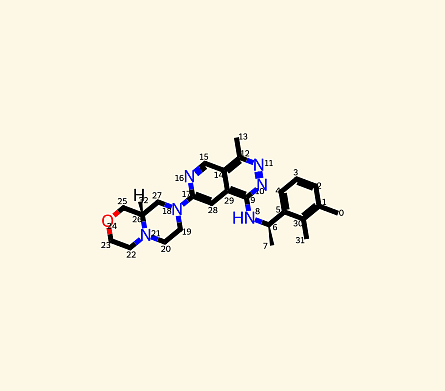 Cc1cccc([C@@H](C)Nc2nnc(C)c3cnc(N4CCN5CCOC[C@@H]5C4)cc23)c1C